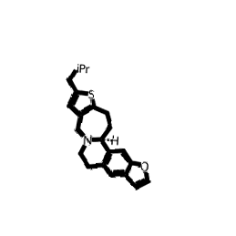 CC(C)Cc1cc2c(s1)CC[C@H]1c3cc4occc4cc3CCN1C2